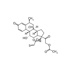 CC(=O)OCC(=O)[C@@]1(OC(=O)C=S)CC[C@H]2[C@@H]3C[C@H](C)C4=CC(=O)C=C[C@]4(C)[C@H]3[C@@H](O)C[C@@]21C